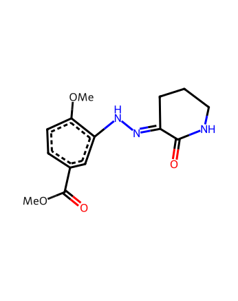 COC(=O)c1ccc(OC)c(N/N=C2\CCCNC2=O)c1